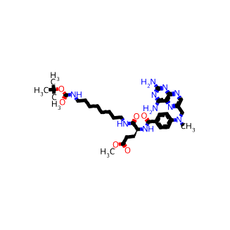 COC(=O)CC[C@H](NC(=O)c1ccc(N(C)Cc2cnc3nc(N)nc(N)c3n2)cc1)C(=O)NCCCCCCCCNC(=O)OC(C)(C)C